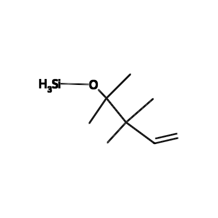 C=CC(C)(C)C(C)(C)O[SiH3]